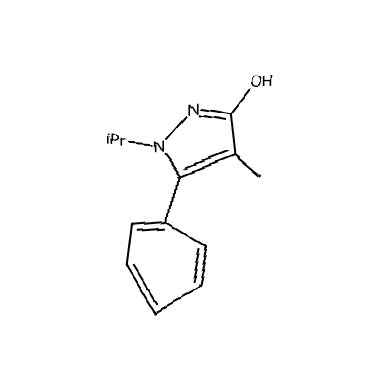 Cc1c(O)nn(C(C)C)c1-c1ccccc1